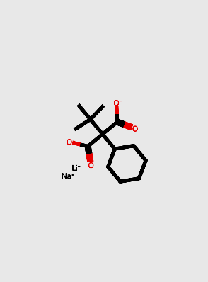 CC(C)(C)C(C(=O)[O-])(C(=O)[O-])C1CCCCC1.[Li+].[Na+]